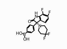 O=C1Nc2c(ccc(F)c2F)[C@]1(c1ccc(B(O)O)cc1)N1CCC(F)(F)CC1